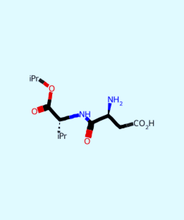 CC(C)OC(=O)[C@H](NC(=O)[C@@H](N)CC(=O)O)C(C)C